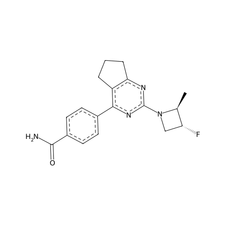 C[C@H]1[C@H](F)CN1c1nc2c(c(-c3ccc(C(N)=O)cc3)n1)CCC2